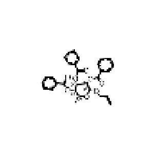 C=CCO[C@@H]1O[C@@H](C)[C@@H](OC(=O)c2ccccc2)[C@@H](OC(=O)c2ccccc2)[C@@H]1OC(=O)c1ccccc1